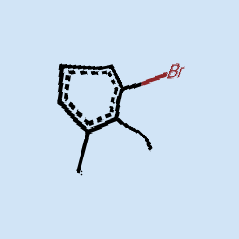 [CH]c1cccc(Br)c1C